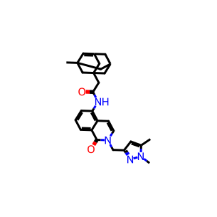 Cc1cc(Cn2ccc3c(NC(=O)CC45CC6=CC(C)(CC(C6)C4)C5)cccc3c2=O)nn1C